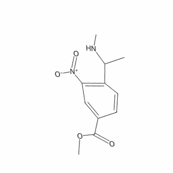 CNC(C)c1ccc(C(=O)OC)cc1[N+](=O)[O-]